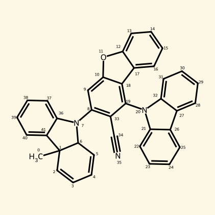 CC12C=CC=CC1N(c1cc3oc4ccccc4c3c(-n3c4ccccc4c4ccccc43)c1C#N)c1ccccc12